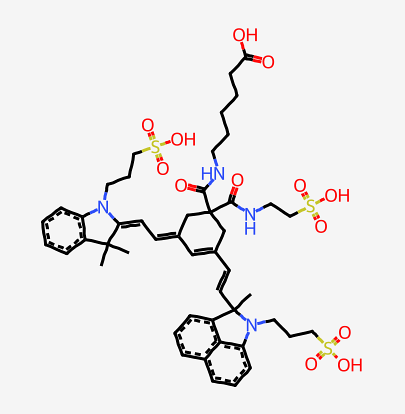 CC1(C)/C(=C\C=C2C=C(/C=C/C3(C)c4cccc5cccc(c45)N3CCCS(=O)(=O)O)CC(C(=O)NCCCCCC(=O)O)(C(=O)NCCS(=O)(=O)O)C\2)N(CCCS(=O)(=O)O)c2ccccc21